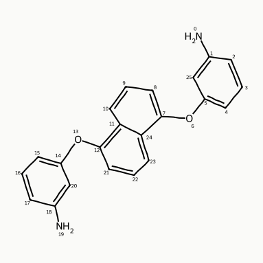 Nc1cccc(Oc2cccc3c(Oc4cccc(N)c4)cccc23)c1